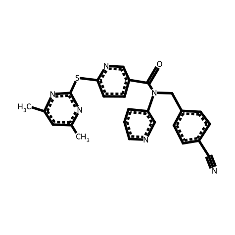 Cc1cc(C)nc(Sc2ccc(C(=O)N(Cc3ccc(C#N)cc3)c3cccnc3)cn2)n1